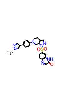 Cn1cc(-c2ccc(N3CCc4cnn(S(=O)(=O)c5ccc6ncc(=O)[nH]c6c5)c4C3)cc2)cn1